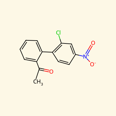 CC(=O)c1ccccc1-c1ccc([N+](=O)[O-])cc1Cl